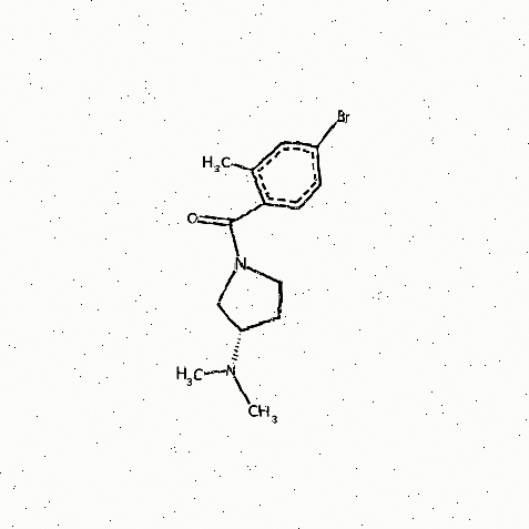 Cc1cc(Br)ccc1C(=O)N1CC[C@H](N(C)C)C1